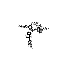 COc1cc(OC)cc(N(CCN2C[C@@H]3C[C@@]2(N)CN3C(=O)OC(C)(C)C)c2ccc3ncc(-c4cnn(C)c4)nc3c2)c1